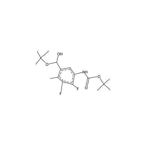 Cc1c(C(O)OC(C)(C)C)cc(NC(=O)OC(C)(C)C)c(F)c1F